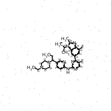 CCC(c1ccc(Nc2ncc(F)c(-c3cc(F)c4nc(C)n(C(C)C)c4c3)n2)nc1)N1CCN(CC)CC1